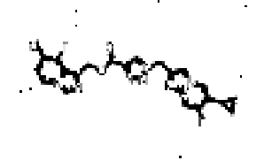 O=C(OCc1ncn2ccc(Cl)c(F)c12)c1cn(Cc2cn3cc(C4CC4)c(F)cc3n2)nn1